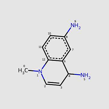 CN1C=CC(N)c2cc(N)ccc21